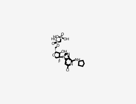 O=P(O)(O)CP(=O)(O)OC[C@H]1OC[C@](F)(n2cnc3c(NC4CCCC4)nc(Cl)cc32)[C@@H]1O